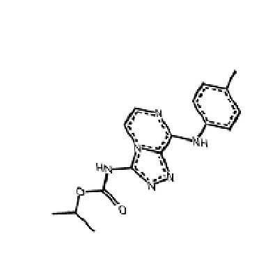 Cc1ccc(Nc2nccn3c(NC(=O)OC(C)C)nnc23)cc1